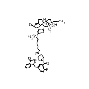 CC#C[C@]1(O)CC[C@H]2[C@@H]3CCC4=CC(=O)CCC4=C3[C@@H](c3ccc(N(C)CCCCCC(=O)N4CCN(C(=O)c5cc(Cc6n[nH]c(=O)c7ccccc67)ccc5F)CC4)cc3)C[C@@]21C